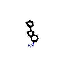 NC1=CCCc2cc(-c3ccccc3)ccc2C1